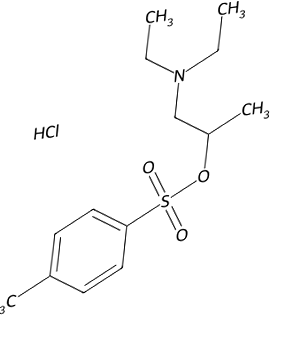 CCN(CC)CC(C)OS(=O)(=O)c1ccc(C)cc1.Cl